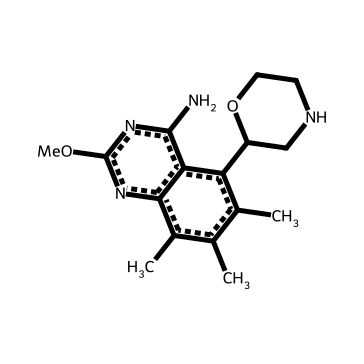 COc1nc(N)c2c(C3CNCCO3)c(C)c(C)c(C)c2n1